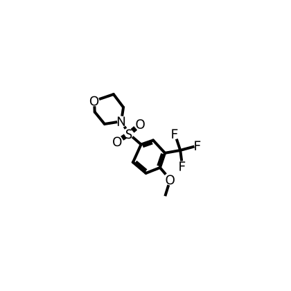 COc1ccc(S(=O)(=O)N2CCOCC2)cc1C(F)(F)F